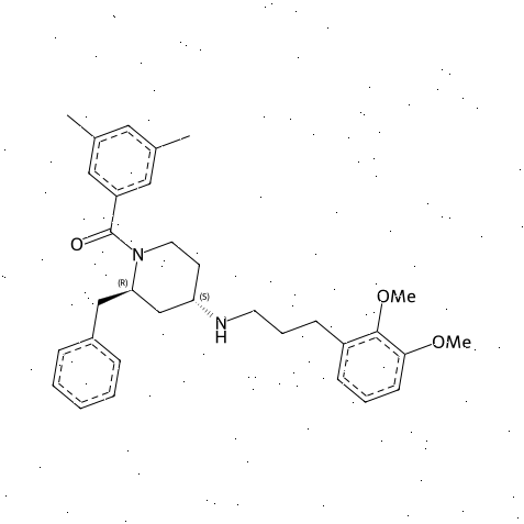 COc1cccc(CCCN[C@H]2CCN(C(=O)c3cc(C)cc(C)c3)[C@H](Cc3ccccc3)C2)c1OC